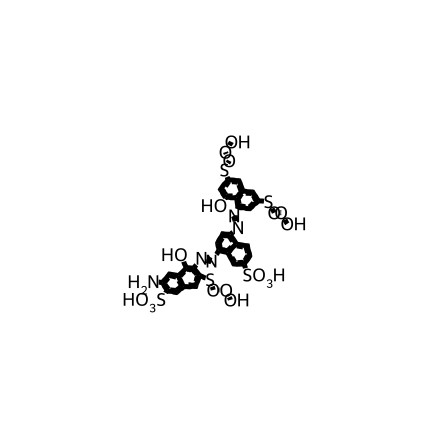 Nc1cc2c(O)c(N=Nc3ccc(N=Nc4cc(SOOO)cc5cc(SOOO)cc(O)c45)c4ccc(S(=O)(=O)O)cc34)c(SOOO)cc2cc1S(=O)(=O)O